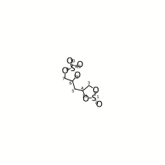 O=S1OCC(CC2COS(=O)(=O)O2)O1